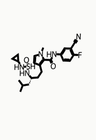 CC(C)C[C@H]1CCc2c(cn(C)c2C(=O)Nc2ccc(F)c(C#N)c2)[SH](=O)(NC2CC2)N1